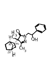 CC1=NN(CC(O)c2ccccc2)C(=O)C1(C)[C@@H]1C[C@H]2CC[C@@H]1C2